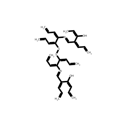 C=C/C=C(/C=N/C(=C/C=C)C(=C\C=C)/SSC(=C/C=C)/C(=C\C=C)/N=C/C(=C/C=C)C(/O)=C\C=C)C(\O)=C/C